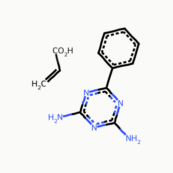 C=CC(=O)O.Nc1nc(N)nc(-c2ccccc2)n1